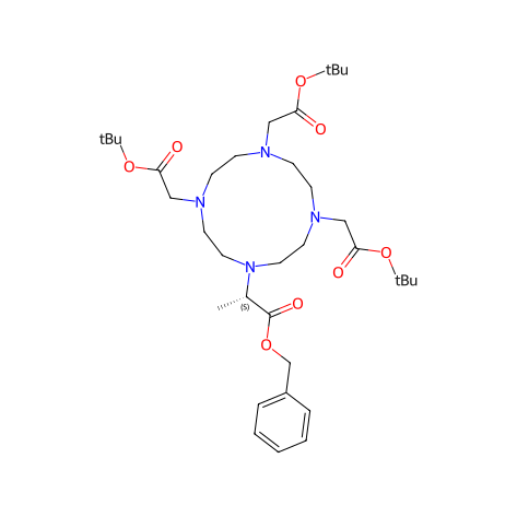 C[C@@H](C(=O)OCc1ccccc1)N1CCN(CC(=O)OC(C)(C)C)CCN(CC(=O)OC(C)(C)C)CCN(CC(=O)OC(C)(C)C)CC1